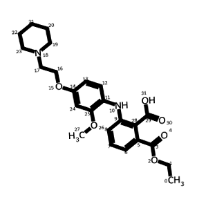 CCOC(=O)c1cccc(Nc2ccc(OCCN3CCCCC3)cc2OC)c1C(=O)O